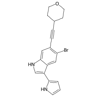 Brc1cc2c(-c3ccc[nH]3)c[nH]c2cc1C#CC1CCOCC1